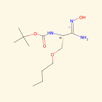 CCCCOC[C@H](NC(=O)OC(C)(C)C)/C(N)=N/O